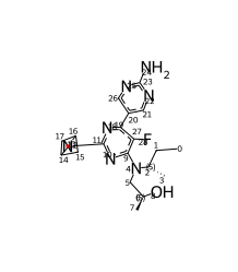 CC[C@H](C)N(C[C@H](C)O)c1nc(N2CC3CC2C3)nc(-c2cnc(N)nc2)c1F